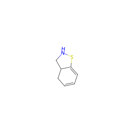 C1=CCC2CNSC2=C1